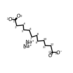 O=C([O-])CCCCCCCCCCC(=O)[O-].[Na+].[Na+]